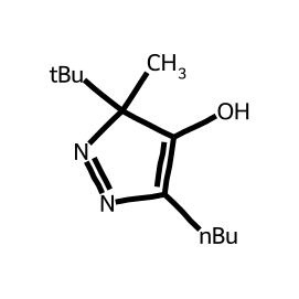 CCCCC1=C(O)C(C)(C(C)(C)C)N=N1